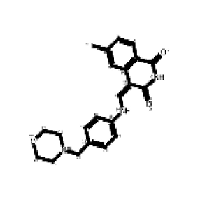 O=C1NC(=O)c2ccc(I)cc2C1=CNc1ccc(CN2CCOCC2)cc1